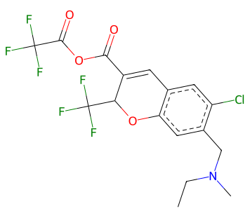 CCN(C)Cc1cc2c(cc1Cl)C=C(C(=O)OC(=O)C(F)(F)F)C(C(F)(F)F)O2